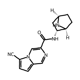 N#Cc1ccc2cnc(C(=O)N[C@@H]3C[C@H]4CC[C@@H]3N4)cn12